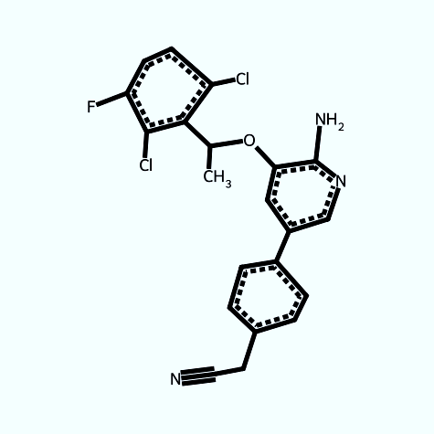 CC(Oc1cc(-c2ccc(CC#N)cc2)cnc1N)c1c(Cl)ccc(F)c1Cl